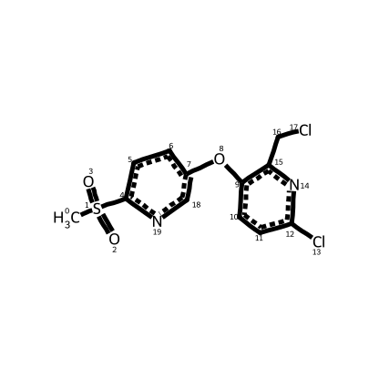 CS(=O)(=O)c1ccc(Oc2ccc(Cl)nc2CCl)cn1